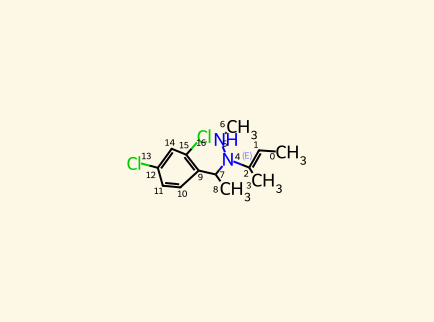 C/C=C(\C)N(NC)C(C)c1ccc(Cl)cc1Cl